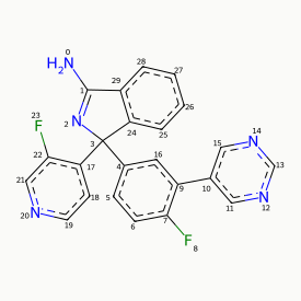 NC1=NC(c2ccc(F)c(-c3cncnc3)c2)(c2ccncc2F)c2ccccc21